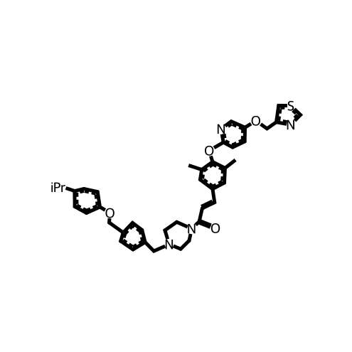 Cc1cc(/C=C/C(=O)N2CCN(Cc3ccc(COc4ccc(C(C)C)cc4)cc3)CC2)cc(C)c1Oc1ccc(OCc2cscn2)cn1